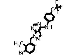 CC1C(Cn2ncc3c(Nc4ccc(OC(F)(F)F)cc4)ncnc32)=CC=CC1Br